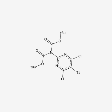 CCc1c(Cl)nc(N(C(=O)OC(C)(C)C)C(=O)OC(C)(C)C)nc1Cl